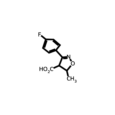 CC1ON=C(c2ccc(F)cc2)C1C(=O)O